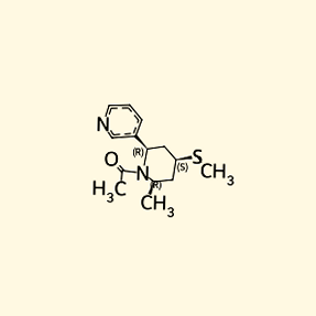 CS[C@H]1C[C@@H](C)N(C(C)=O)[C@@H](c2cccnc2)C1